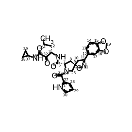 CCC[C@H](NC(=O)[C@@H]1C[C@]2(CC(c3ccc4c(c3)OCO4)=NO2)CN1C(=O)c1ccc[nH]1)C(=O)C(=O)NC1CC1